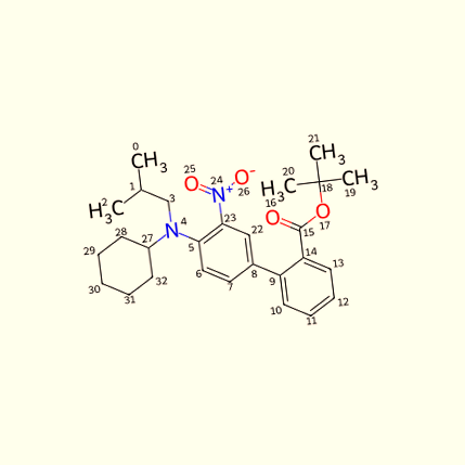 CC(C)CN(c1ccc(-c2ccccc2C(=O)OC(C)(C)C)cc1[N+](=O)[O-])C1CCCCC1